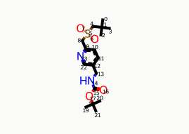 CC(C)(C)CS(=O)(=O)Cc1ccc(CNC(=O)OC(C)(C)C)cn1